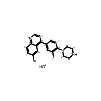 Cl.Fc1cc(-c2ncnc3ccc(Br)cc23)cnc1N1CCNCC1